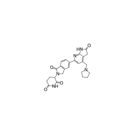 O=C1CCC(N2Cc3cc(-c4cc(CN5CCCC5)c5c(n4)NC(=O)C5)ccc3C2=O)C(=O)N1